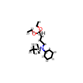 CCO[SiH](CCCN(C1CCCCC1)[Si](C)(C)C(C)(C)C)OCC